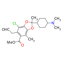 COC(=O)c1c(C)c2c(c(Cl)c1CC=O)OC(C)(C1CCC(N(C)C)CC1)O2